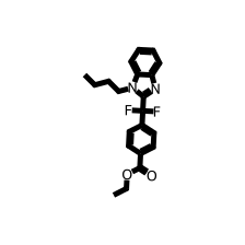 CCCCn1c(C(F)(F)c2ccc(C(=O)OCC)cc2)nc2ccccc21